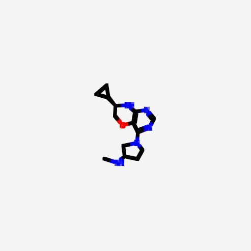 CN[C@@H]1CCN(c2ncnc3c2OC[C@@H](C2CC2)N3)C1